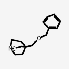 c1ccc(COCC23CCN(CC2)CC3)cc1